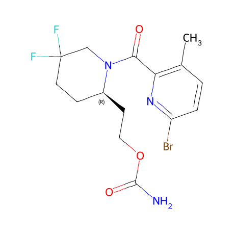 Cc1ccc(Br)nc1C(=O)N1CC(F)(F)CC[C@@H]1CCOC(N)=O